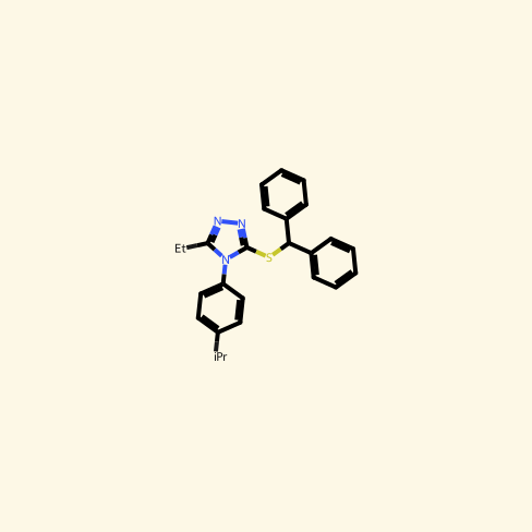 CCc1nnc(SC(c2ccccc2)c2ccccc2)n1-c1ccc(C(C)C)cc1